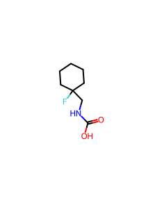 O=C(O)NCC1(F)CCCCC1